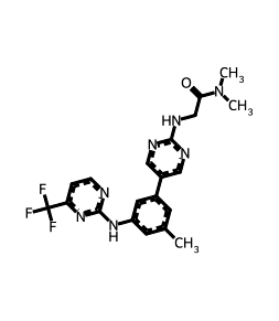 Cc1cc(Nc2nccc(C(F)(F)F)n2)cc(-c2cnc(NCC(=O)N(C)C)nc2)c1